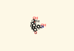 CO[C@@]1(/C=C\CO)CC[C@H]2[C@@H]3CCC4=CC(=O)CCC4=C3[C@@H](c3ccc(/C=N\O)cc3)C[C@@]21C